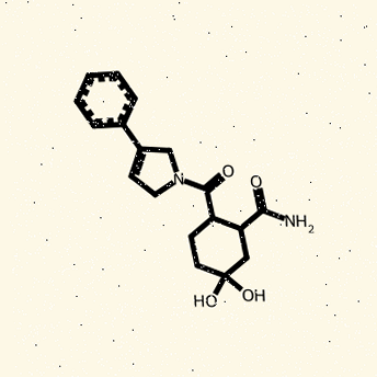 NC(=O)C1CC(O)(O)CCC1C(=O)N1CC=C(c2ccccc2)C1